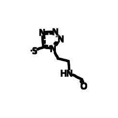 O=CNCCn1nnnc1[S]